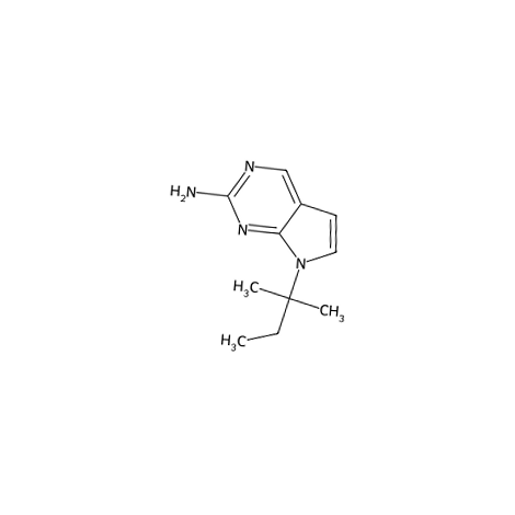 CCC(C)(C)n1ccc2cnc(N)nc21